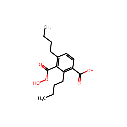 CCCCc1ccc(C(=O)O)c(CCCC)c1C(=O)OO